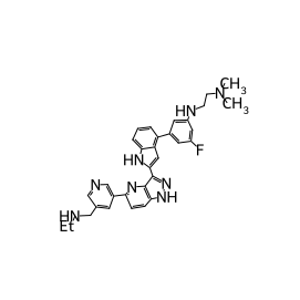 CCNCc1cncc(-c2ccc3[nH]nc(-c4cc5c(-c6cc(F)cc(NCCN(C)C)c6)cccc5[nH]4)c3n2)c1